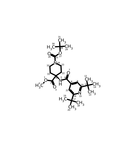 COC(=O)C1(NC(=O)c2cc(C(C)(C)C)nc(C(C)(C)C)c2)CCN(C(=O)OC(C)(C)C)CC1